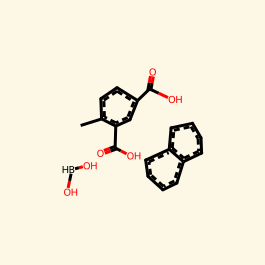 Cc1ccc(C(=O)O)cc1C(=O)O.OBO.c1ccc2ccccc2c1